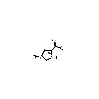 O=C(O)[C@@H]1C[C@H](Cl)CN1